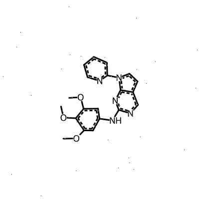 COc1cc(Nc2ncc3ccn(-c4ccccn4)c3n2)cc(OC)c1OC